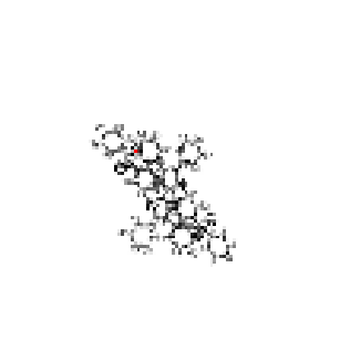 O=S(=O)(c1ccccc1)c1ccc(C2(C3(c4ccc(S(=O)(=O)c5ccccc5)cc4)N=C(c4ccccc4)C(c4ccccc4)=N3)N=C(c3ccccc3)C(c3ccccc3)=N2)cc1